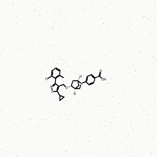 Cc1cccc(Cl)c1-c1noc(C2CC2)c1CO[C@@H]1C[C@@H]2C[C@H]1CN2c1ccc(C(=O)O)cc1